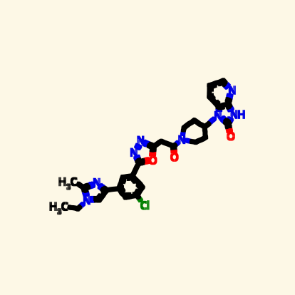 CCn1cc(-c2cc(Cl)cc(-c3nnc(CC(=O)N4CCC(n5c(=O)[nH]c6ncccc65)CC4)o3)c2)nc1C